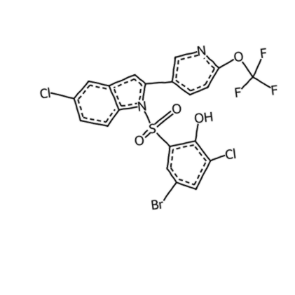 O=S(=O)(c1cc(Br)cc(Cl)c1O)n1c(-c2ccc(OC(F)(F)F)nc2)cc2cc(Cl)ccc21